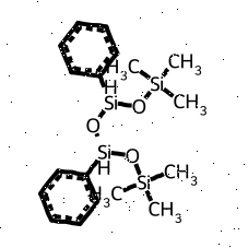 C[Si](C)(C)O[SiH](O[SiH](O[Si](C)(C)C)c1ccccc1)c1ccccc1